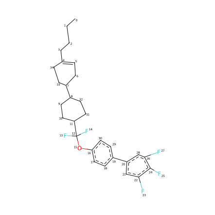 CCCCC1=CCC(C2CCC(C(F)(F)Oc3ccc(-c4cc(F)c(F)c(F)c4)cc3)CC2)CC1